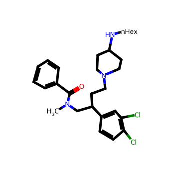 CCCCCCNC1CCN(CCC(CN(C)C(=O)c2ccccc2)c2ccc(Cl)c(Cl)c2)CC1